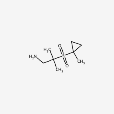 CC(C)(CN)S(=O)(=O)C1(C)CC1